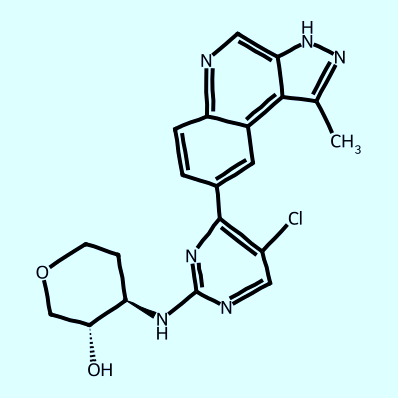 Cc1n[nH]c2cnc3ccc(-c4nc(N[C@@H]5CCOC[C@H]5O)ncc4Cl)cc3c12